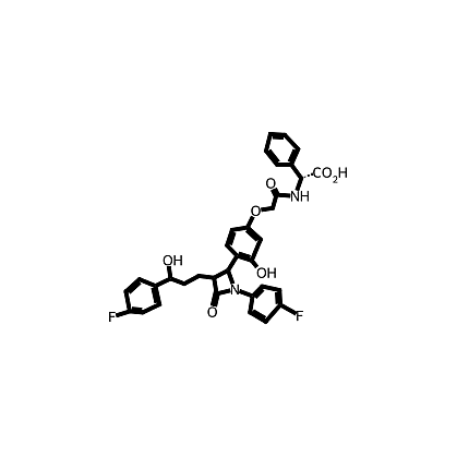 O=C(COc1ccc(C2C(CCC(O)c3ccc(F)cc3)C(=O)N2c2ccc(F)cc2)c(O)c1)N[C@@H](C(=O)O)c1ccccc1